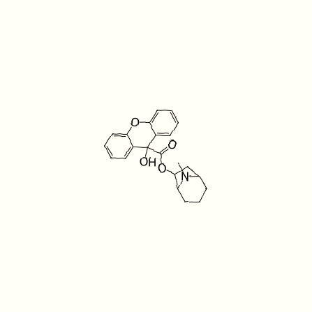 CN1C2CCCC1C(OC(=O)C1(O)c3ccccc3Oc3ccccc31)C2